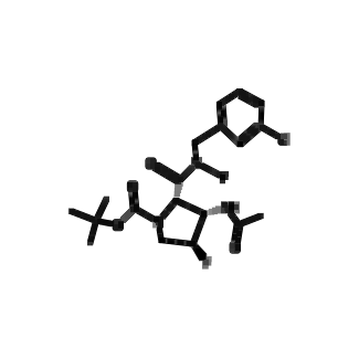 CC(=O)N[C@H]1[C@@H](C(=O)N(F)Cc2cccc(Cl)c2)N(C(=O)OC(C)(C)C)C[C@@H]1F